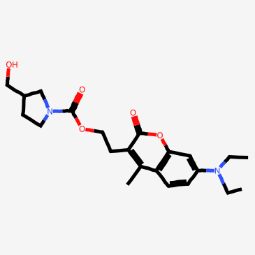 CCN(CC)c1ccc2c(C)c(CCOC(=O)N3CCC(CO)C3)c(=O)oc2c1